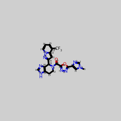 Cn1cnc(-c2nnc(C(=O)N3CCc4[nH]cnc4C3c3cc4c(C(F)(F)F)cccn4n3)o2)c1